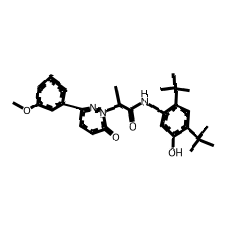 COc1cccc(-c2ccc(=O)n(C(C)C(=O)Nc3cc(O)c(C(C)(C)C)cc3C(C)(C)C)n2)c1